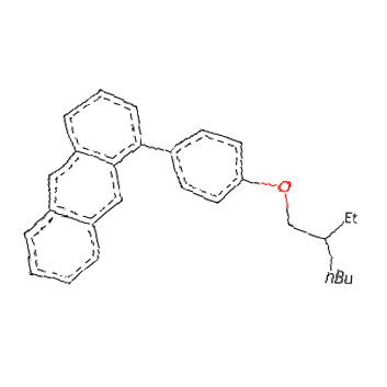 CCCCC(CC)COc1ccc(-c2cccc3cc4ccccc4cc23)cc1